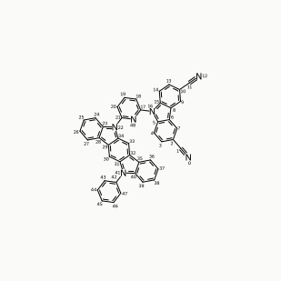 N#Cc1ccc2c(c1)c1cc(C#N)ccc1n2-c1cccc(-n2c3ccccc3c3cc4c(cc32)c2ccccc2n4-c2ccccc2)n1